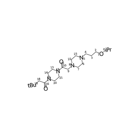 CC(C)OCCCN1CCN(CC(=O)N2CCN(C(=O)CC(C)(C)C)CC2)CC1